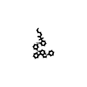 C=C(/C=C\C=C/C)C(C)(C)c1ccccc1Nc1cccc(-n2c3ccccc3c3c4ccn(-c5ccccc5)c4ccc32)c1